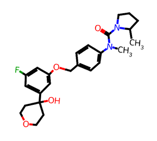 CC1CCCN1C(=O)N(C)c1ccc(COc2cc(F)cc(C3(O)CCOCC3)c2)cc1